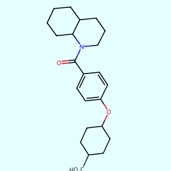 O=C(O)C1CCC(Oc2ccc(C(=O)N3CCCC4CCCCC43)cc2)CC1